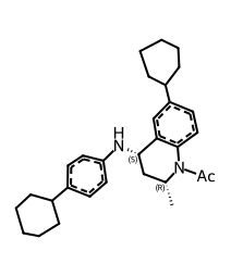 CC(=O)N1c2ccc(C3CCCCC3)cc2[C@@H](Nc2ccc(C3CCCCC3)cc2)C[C@H]1C